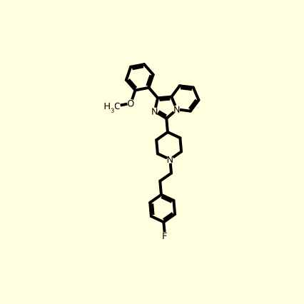 COc1ccccc1-c1nc(C2CCN(CCc3ccc(F)cc3)CC2)n2ccccc12